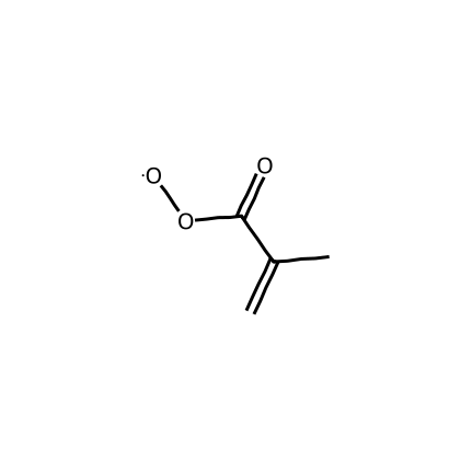 C=C(C)C(=O)O[O]